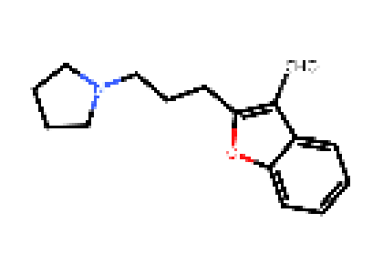 O=Cc1c(CCCN2CCCC2)oc2ccccc12